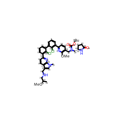 COc1nc(-c2cccc(-c3cccc(-c4ccc5c(CNCC(C)OC)cn(C)c5n4)c3Cl)c2Cl)ccc1CN(C[C@@H]1CCC(=O)N1)C(=O)OC(C)(C)C